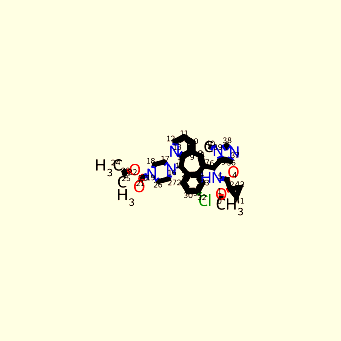 COC1(C(=O)N[C@H](C2=Cc3cccnc3[C@@H](N3CCN(C(=O)OC(C)C)CC3)c3ccc(Cl)cc32)c2cncn2C)CC1